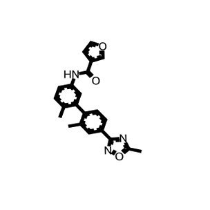 Cc1nc(-c2ccc(-c3cc(NC(=O)c4ccoc4)ccc3C)c(C)c2)no1